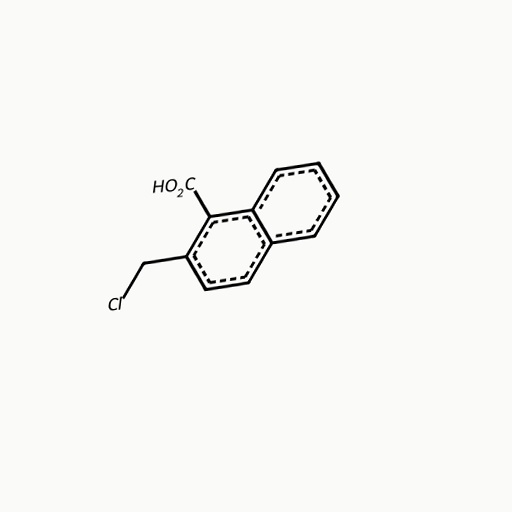 O=C(O)c1c(CCl)ccc2ccccc12